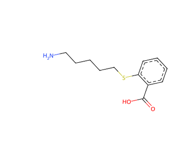 NCCCCCSc1ccccc1C(=O)O